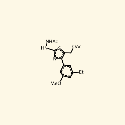 CCc1cc(OC)cc(-c2nc(NNC(C)=O)sc2COC(C)=O)c1